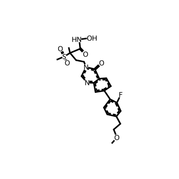 COCCc1ccc(-c2ccc3c(=O)n(CCC(C)(C(=O)NO)S(C)(=O)=O)cnc3c2)c(F)c1